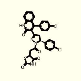 O=C1NC(=O)C(CC(=O)N2N=C(c3c(-c4ccc(Cl)cc4)c4ccccc4[nH]c3=O)C[C@H]2c2ccc(Cl)cc2)S1